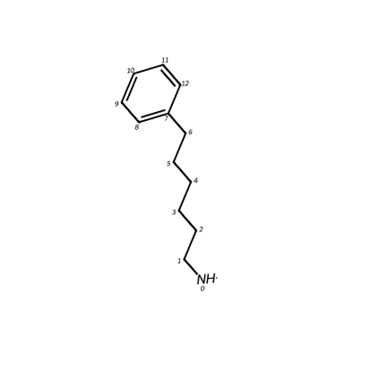 [NH]CCCCCCc1ccccc1